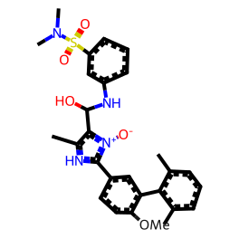 COc1ccc(-c2[nH]c(C)c(C(O)Nc3cccc(S(=O)(=O)N(C)C)c3)[n+]2[O-])cc1-c1c(C)cccc1C